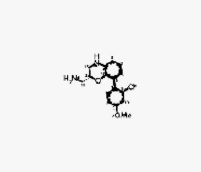 COc1ccc(-c2cccc3c2O[C@H](CN)CN3)c(Cl)c1